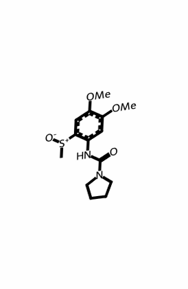 COc1cc(NC(=O)N2CCCC2)c([S+](C)[O-])cc1OC